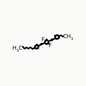 CCCCCCCc1ccc(C#Cc2cc(F)c(C#Cc3ccc(CCC)cc3)cc2F)cc1